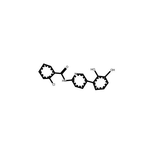 O=C(Nc1ccc(-c2cccc(O)c2O)cn1)c1ccccc1Cl